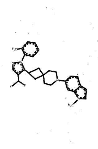 Cn1ccc2ccc(N3CCC4(CC3)CC(c3c(C(F)F)cnn3-c3ccccc3C(F)(F)F)C4)cc21